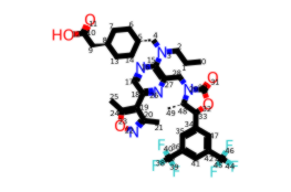 CCCN(C[C@H]1CC[C@H](CC(=O)O)CC1)c1ncc(-c2c(C)noc2C)nc1CN1C(=O)OC(c2cc(C(F)(F)F)cc(C(F)(F)F)c2)[C@@H]1C